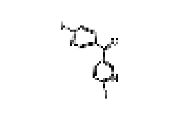 O=C(c1ccc(I)nc1)c1ccc(I)nc1